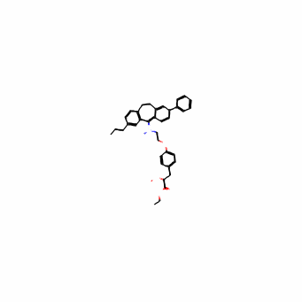 CCCc1ccc2c(c1)C(N(C)CCOc1ccc(CC(OC)C(=O)OCC)cc1)=C1C=CC(c3ccccc3)C=C1CC2